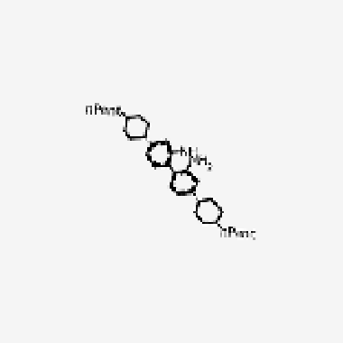 CCCCC[C@H]1CC[C@H](c2ccc(-c3ccc([C@H]4CC[C@H](CCCCC)CC4)cc3N)c(N)c2)CC1